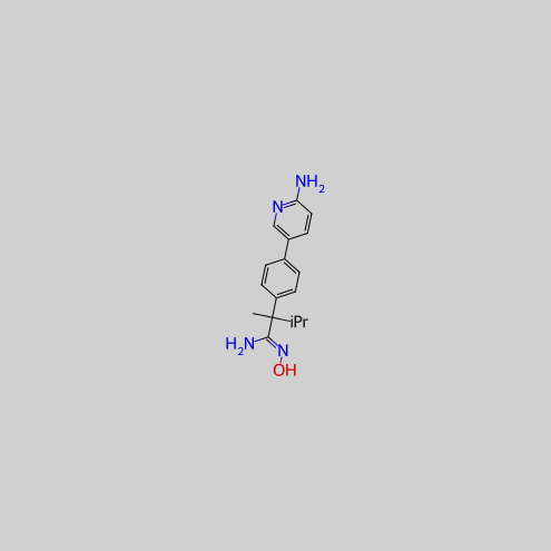 CC(C)C(C)(/C(N)=N/O)c1ccc(-c2ccc(N)nc2)cc1